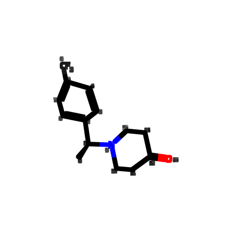 C[C@@H](c1ccc(C(F)(F)F)cc1)N1CCC(=O)CC1